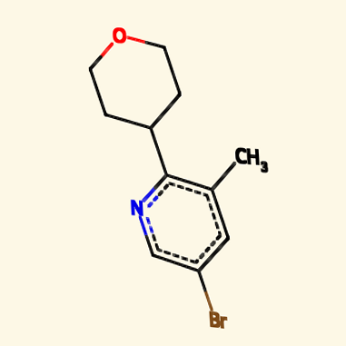 Cc1cc(Br)cnc1C1CCOCC1